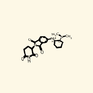 CN(C)[C@H]1CCCC[C@H]1Nc1ccc2c(c1)C(=O)N(C1CCC(=O)NC1=O)C2=O